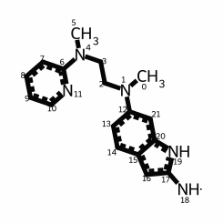 CN(CCN(C)c1ccccn1)c1ccc2cc([NH])[nH]c2c1